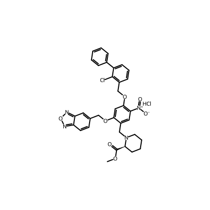 COC(=O)[C@@H]1CCCCN1Cc1cc([N+](=O)[O-])c(OCc2cccc(-c3ccccc3)c2Cl)cc1OCc1ccc2nonc2c1.Cl